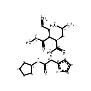 C=CC[C@H](C(=O)NO)[C@@H](CC(C)C)C(=O)N[C@@H](C(=O)OC1CCCC1)c1cccs1